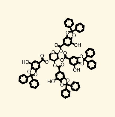 O=C(O[C@@H]1OC[C@@H](OC(=O)c2cc(O)c3c(c2)OC(c2ccccc2)(c2ccccc2)O3)[C@H](OC(=O)c2cc(O)c3c(c2)OC(c2ccccc2)(c2ccccc2)O3)[C@H]1OC(=O)c1cc(O)c2c(c1)OC(c1ccccc1)(c1ccccc1)O2)c1cc(O)c2c(c1)OC(c1ccccc1)(c1ccccc1)O2